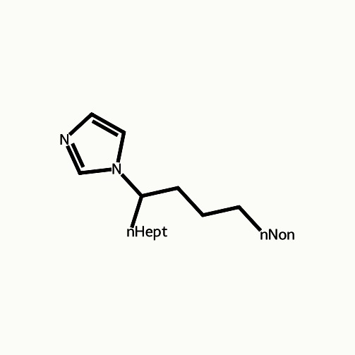 CCCCCCCCCCCCC(CCCCCCC)n1ccnc1